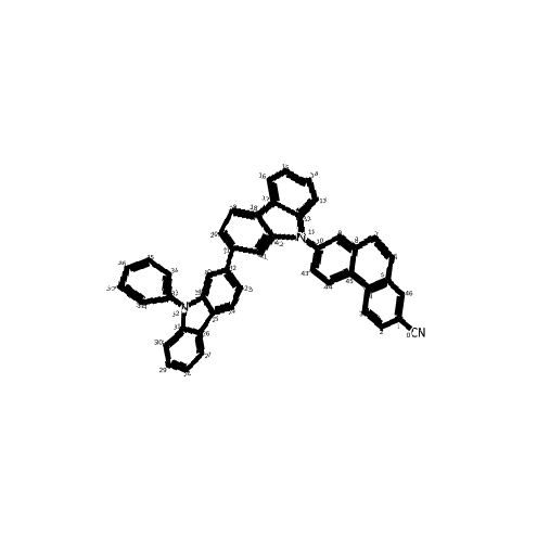 N#Cc1ccc2c(ccc3cc(-n4c5ccccc5c5ccc(-c6ccc7c8ccccc8n(-c8ccccc8)c7c6)cc54)ccc32)c1